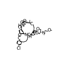 COCCN(C)[C@H]1CO[C@@H]([C@@H]2CCC[C@H](C)[C@@H](C)S(=O)(=O)NC(=O)c3ccc4c(c3)N(CCCCc3cc(Cl)ccc3CO4)C[C@@H]3CC[C@H]32)OC1